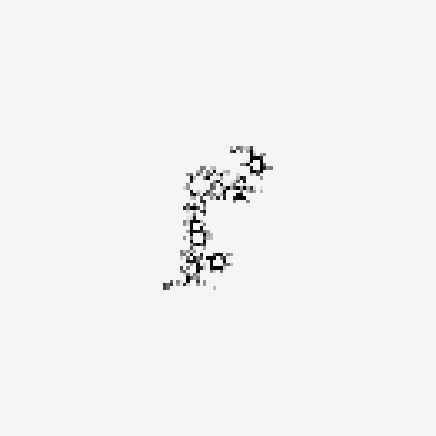 CCCOC(=O)[C@H](C)NP(=O)(Oc1ccccc1)[C@@H](F)c1ccc2sc(C(=O)N[C@H]3CCCC[C@H]4CC[C@@H](C(=O)N5C[C@H](c6cccc(OC)c6)[C@@H](C#N)C56CC6)N4C3=O)cc2c1